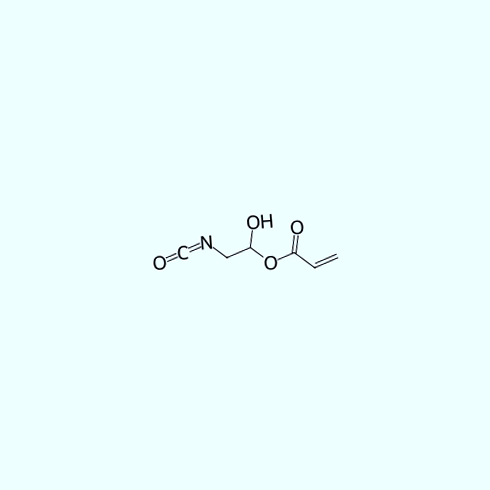 C=CC(=O)OC(O)CN=C=O